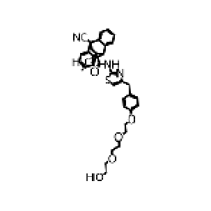 CC1(C(=O)Nc2nc(Cc3ccc(OCCOCCOCCO)cc3)cs2)CC2(C#N)c3ccccc3C1c1ccccc12